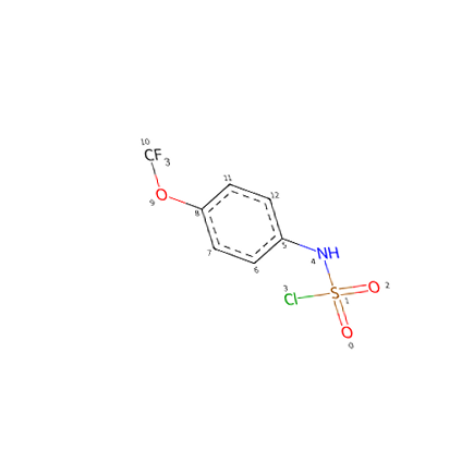 O=S(=O)(Cl)Nc1ccc(OC(F)(F)F)cc1